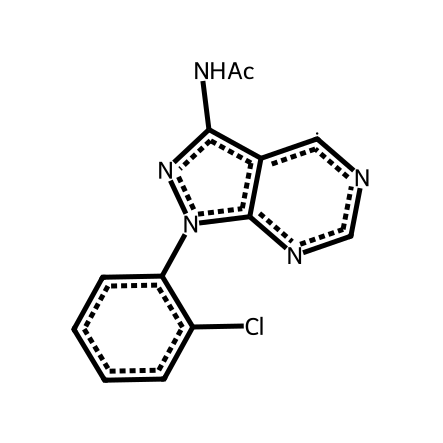 CC(=O)Nc1nn(-c2ccccc2Cl)c2ncn[c]c12